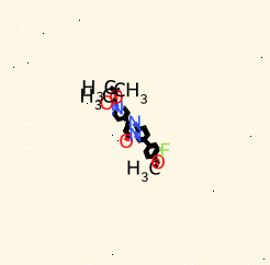 COc1ccc(-c2ccc3nc(C4=CCN(C(=O)OC(C)(C)C)CC4)cc(=O)n3c2)cc1F